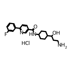 Cl.NCCC(O)C1CCC(NC(=O)c2ccc(-c3cccc(F)c3)nc2)CC1